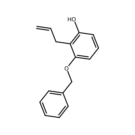 C=CCc1c(O)cccc1OCc1ccccc1